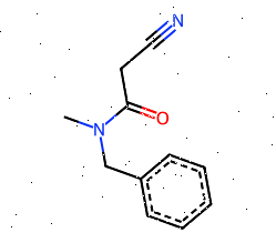 CN(Cc1ccccc1)C(=O)CC#N